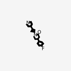 O=C1CC(c2ccc(F)cc2)CCN1C12CC(c3ccncc3)(C1)C2